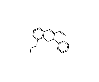 CCOc1cccc2c1OC(c1ccccc1)C(C=O)=C2